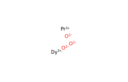 [Dy+3].[O-2].[O-2].[O-2].[Pr+3]